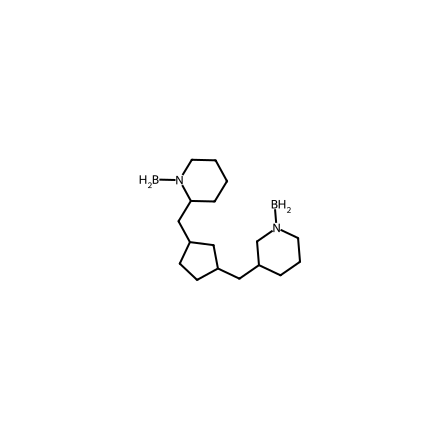 BN1CCCC(CC2CCC(CC3CCCCN3B)C2)C1